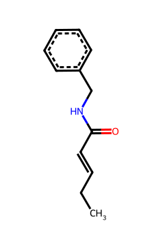 CC/C=C/C(=O)NCc1ccccc1